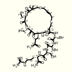 CCCC[C@H](NC(=O)[C@@H](NC(=O)[C@]1(C)CCC/C=C\CCCC(C)(C)C(=O)N[C@@H](CC(C)C)C(=O)N[C@@H](CC(C)C)C(=O)C(=O)[C@H](CCC(N)=O)NN1)[C@@H](C)CC)C(=O)N[C@@H](CO)C(=O)N[C@@H](CCCNC(=N)N)C(N)=O